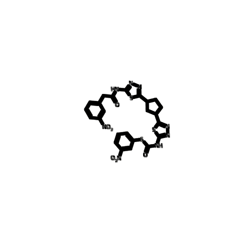 O=C(Cc1cccc([N+](=O)[O-])c1)Nc1nnc(C2CCC(c3nnc(NC(=O)Sc4cccc([N+](=O)[O-])c4)s3)C2)s1